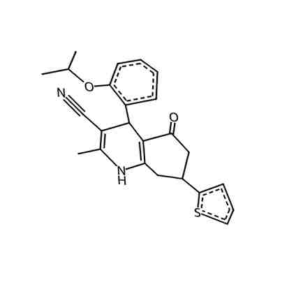 CC1=C(C#N)C(c2ccccc2OC(C)C)C2=C(CC(c3cccs3)CC2=O)N1